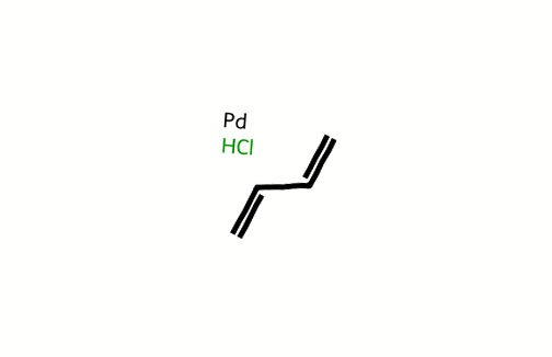 C=CC=C.Cl.[Pd]